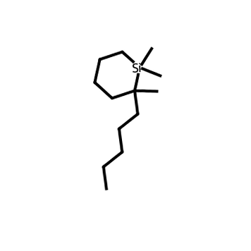 CCCCCC1(C)CCCC[Si]1(C)C